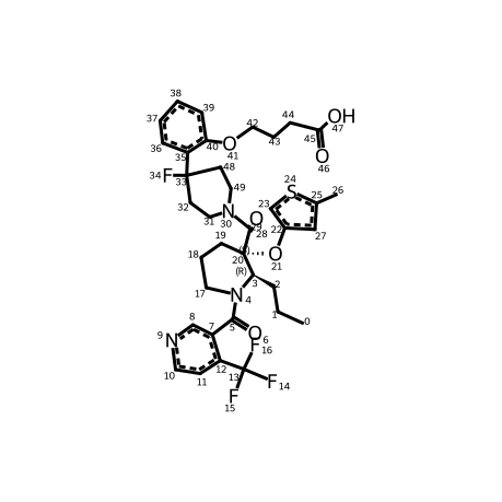 CCC[C@H]1N(C(=O)c2cnccc2C(F)(F)F)CCC[C@@]1(Oc1csc(C)c1)C(=O)N1CCC(F)(c2ccccc2OCCCC(=O)O)CC1